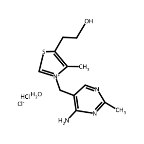 Cc1ncc(C[n+]2csc(CCO)c2C)c(N)n1.Cl.O.[Cl-]